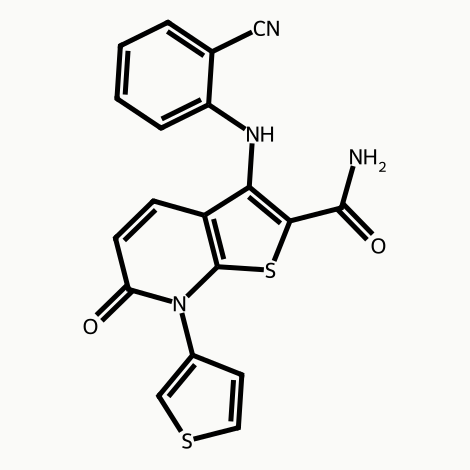 N#Cc1ccccc1Nc1c(C(N)=O)sc2c1ccc(=O)n2-c1ccsc1